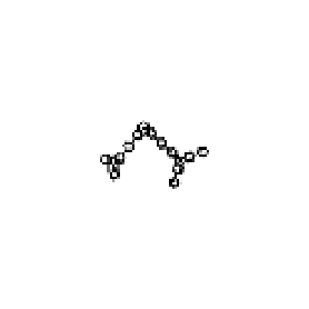 c1ccc(-c2ccc(N(c3ccc(-c4ccccc4)cc3)c3ccc(-c4ccc(-c5ccc6oc7ccc(-c8ccc(-c9ccc%10c(c9)c9ccccc9n%10-c9ccccc9)cc8)cc7c6c5)cc4)cc3)cc2)cc1